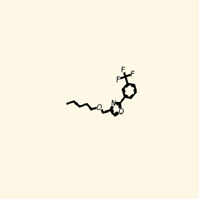 CCCCCOCc1coc(-c2cccc(C(F)(F)F)c2)n1